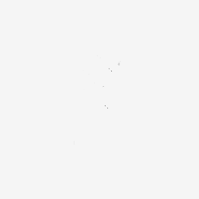 CC(C)N1CC2(CCN(Cc3ccc(F)cc3)CC2)C(=O)[C@H](C)C1=O